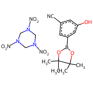 CC1(C)OB(c2cc(O)cc(C#N)c2)OC1(C)C.O=[N+]([O-])N1CN([N+](=O)[O-])CN([N+](=O)[O-])C1